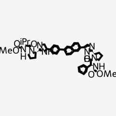 COC(=O)N[C@H](C(=O)N1CCC[C@H]1C1=NCC(c2ccc(-c3ccc4cc(-c5cnc([C@@H]6CCCN6C(=O)[C@H](NC(=O)OC)c6ccccc6)[nH]5)ccc4c3)cc2)N1)C(C)C